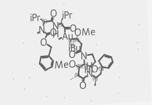 CC[C@H](C)[C@@H]([C@@H](CC(=O)N1CCC[C@H]1[C@H](OC)[C@@H](C)C(=O)N[C@H](C)C[C@]1(O)C=CC=CC1)OC)[Au]([CH3])[C](=O)[C@@H](NC(=O)[C@H](C(C)C)N(C)C(=O)OCc1ccccc1)C(C)C